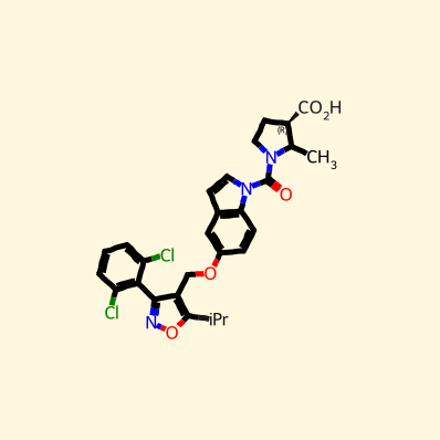 CC(C)c1onc(-c2c(Cl)cccc2Cl)c1COc1ccc2c(ccn2C(=O)N2CC[C@@H](C(=O)O)C2C)c1